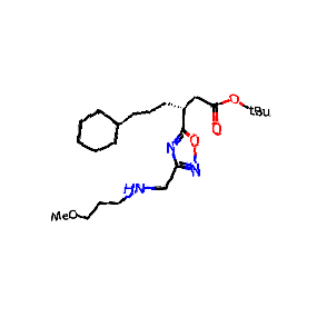 COCCCNCc1noc([C@H](CCCC2CCCCC2)CC(=O)OC(C)(C)C)n1